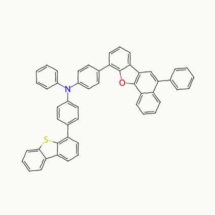 c1ccc(-c2cc3c4cccc(-c5ccc(N(c6ccccc6)c6ccc(-c7cccc8c7sc7ccccc78)cc6)cc5)c4oc3c3ccccc23)cc1